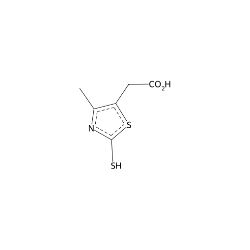 Cc1nc(S)sc1CC(=O)O